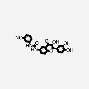 N#Cc1cccc(NC(=O)Nc2ccc3oc(-c4ccc(O)c(O)c4)c(O)c(=O)c3c2)c1